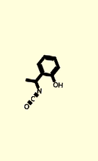 CC(N=C=O)c1ccccc1O